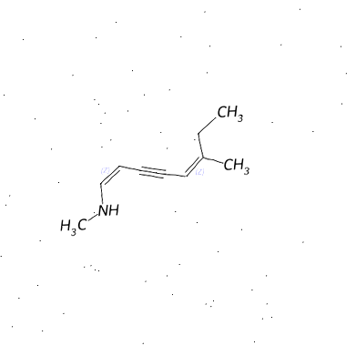 CC/C(C)=C\C#C/C=C\NC